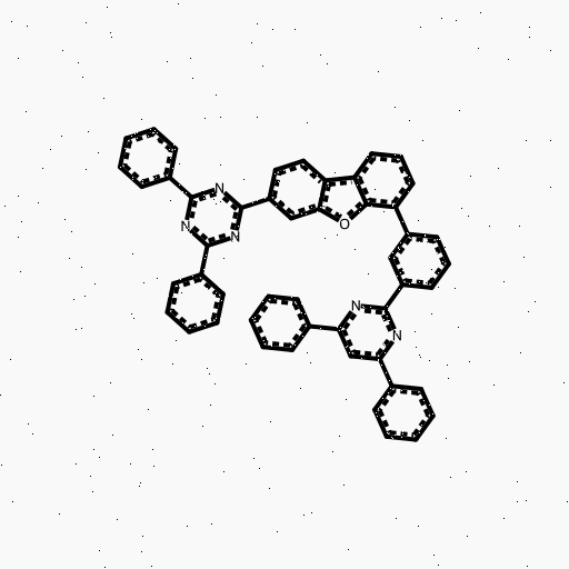 c1ccc(-c2cc(-c3ccccc3)nc(-c3cccc(-c4cccc5c4oc4cc(-c6nc(-c7ccccc7)nc(-c7ccccc7)n6)ccc45)c3)n2)cc1